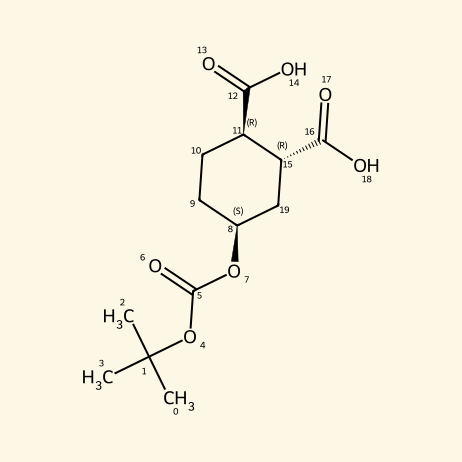 CC(C)(C)OC(=O)O[C@H]1CC[C@@H](C(=O)O)[C@H](C(=O)O)C1